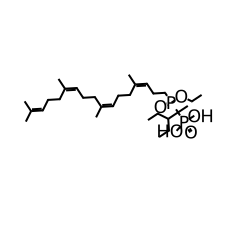 CCOP(=O)(CCC=C(C)CCC=C(C)CCC=C(C)CCC=C(C)C)C(C)(C(CC)CC)P(=O)(O)O